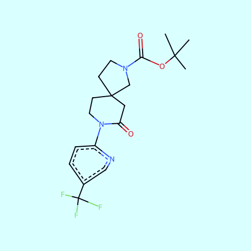 CC(C)(C)OC(=O)N1CCC2(CCN(c3ccc(C(F)(F)F)cn3)C(=O)C2)C1